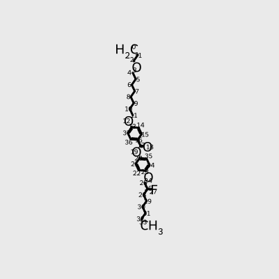 C=CCOCCCCCCCCOc1ccc(C(=O)Oc2ccc(OCC(F)CCCCCC)cc2)cc1